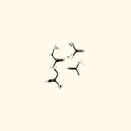 CC(N)=S.NC(N)=S.NCC(=O)NCC(=O)O